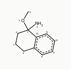 COC1(N)CCCc2ccccc21